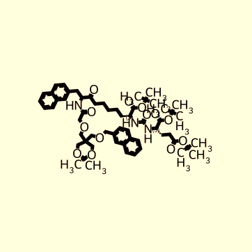 CC(C)(C)OC(=O)CC[C@H](NC(=O)N[C@@H](CCCCCC(=O)C(Cc1ccc2ccccc2c1)NC(=O)COCC1(COCc2ccc3ccccc3c2)COC(C)(C)OC1)C(=O)OC(C)(C)C)C(=O)OC(C)(C)C